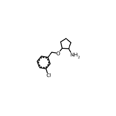 NC1CCCC1OCc1cccc(Cl)c1